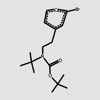 CC(C)(C)OC(=O)N(CCc1cccc(Br)c1)C(C)(C)C